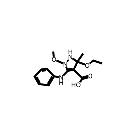 CCOC1(C)NN(OC)C(Nc2ccccc2)=C1C(=O)O